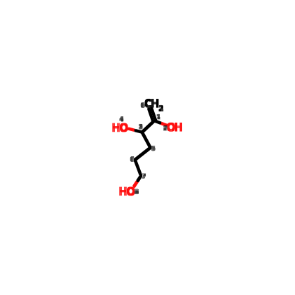 C=C(O)C(O)CCCO